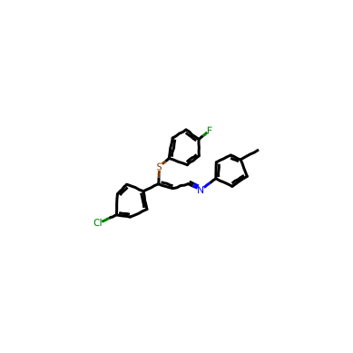 Cc1ccc(N=CC=C(Sc2ccc(F)cc2)c2ccc(Cl)cc2)cc1